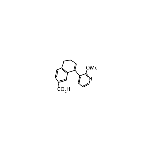 COc1ncccc1C1=CCCc2ccc(C(=O)O)cc21